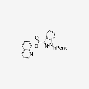 CCCCCn1nc(C(=O)Oc2cccc3cccnc23)c2ccccc21